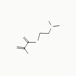 C=C(C)C(=O)OCCN(C)C(C)(C)C